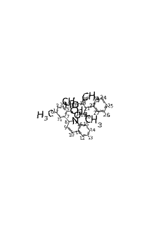 Cc1cc(C)c(C)c(C2C=Cc3ccccc3N2OC(C)C(c2ccccc2)C(C)O)c1